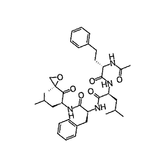 CC(=O)N[C@@H](CCc1ccccc1)C(=O)N[C@@H](CC(C)C)C(=O)N[C@@H](Cc1ccccc1)C(=O)N[C@@H](CC(C)C)C(=O)[C@@]1(C)CO1